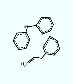 C=CCc1ccccc1.c1ccc(Nc2ccccc2)cc1